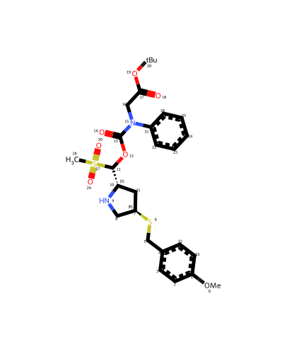 COc1ccc(CS[C@H]2CN[C@H](C(OC(=O)N(CC(=O)OC(C)(C)C)c3ccccc3)S(C)(=O)=O)C2)cc1